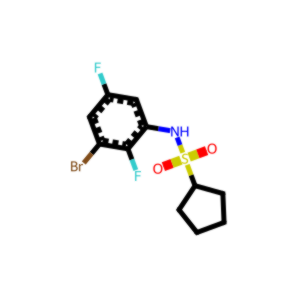 O=S(=O)(Nc1cc(F)cc(Br)c1F)C1CCCC1